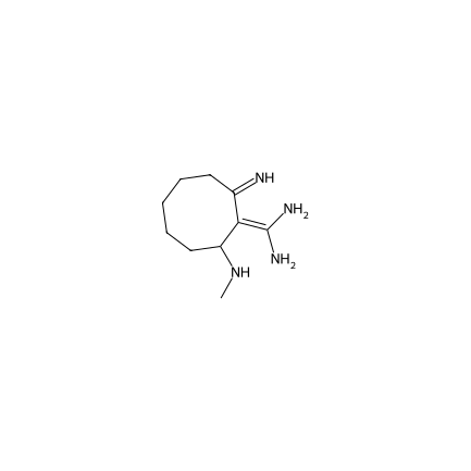 CNC1CCCCCC(=N)C1=C(N)N